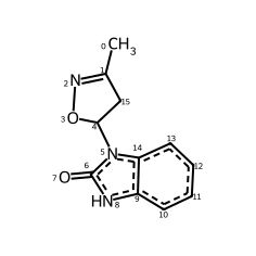 CC1=NOC(n2c(=O)[nH]c3ccccc32)C1